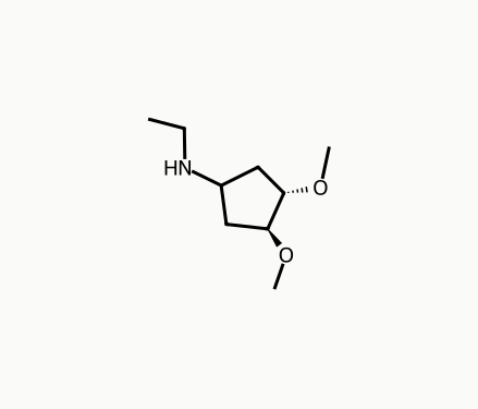 CCNC1C[C@H](OC)[C@@H](OC)C1